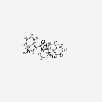 Cn1cc(C(=O)N2CCC[C@@H]3c4ccccc4CC[C@@H]32)c2ccccc21